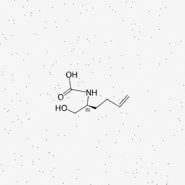 C=CCC[C@@H](CO)NC(=O)O